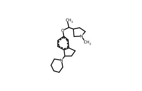 CC(Oc1ccc2c(c1)CCC2N1CCCCC1)C1CCN(C)C1